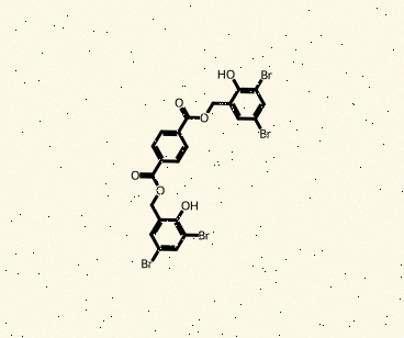 O=C(OCc1cc(Br)cc(Br)c1O)c1ccc(C(=O)OCc2cc(Br)cc(Br)c2O)cc1